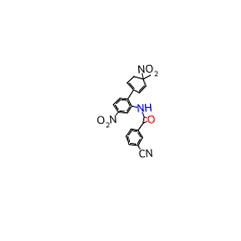 CC1([N+](=O)[O-])C=CC(c2ccc([N+](=O)[O-])cc2NC2OC2c2cccc(C#N)c2)=CC1